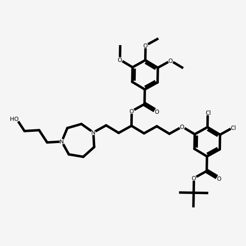 COc1cc(C(=O)OC(CCCOc2cc(C(=O)OC(C)(C)C)cc(Cl)c2Cl)CCN2CCCN(CCCO)CC2)cc(OC)c1OC